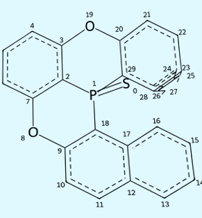 S=P12c3c(cccc3Oc3ccc4ccccc4c31)Oc1ccc3ccccc3c12